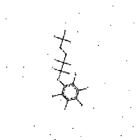 Fc1c(F)c(F)c(OC(F)(F)C(F)(F)CCC(F)(F)F)c(F)c1F